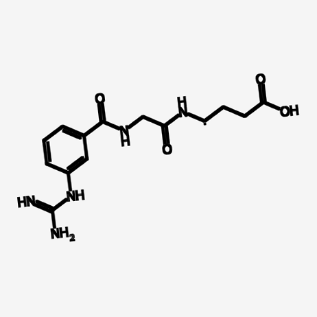 N=C(N)Nc1cccc(C(=O)NCC(=O)N[CH]CCC(=O)O)c1